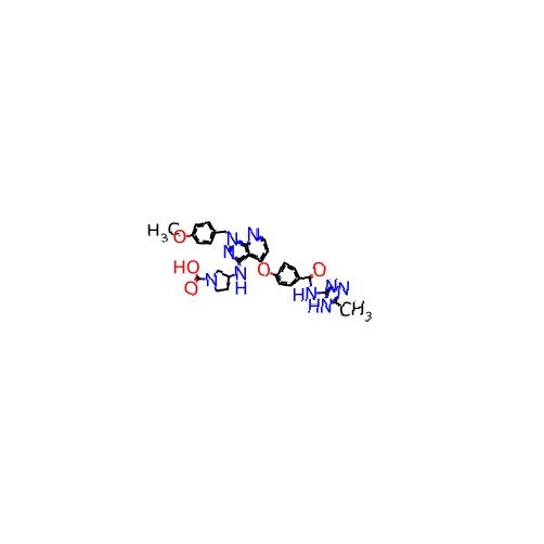 COc1ccc(Cn2nc(NC3CCN(C(=O)O)C3)c3c(Oc4ccc(C(=O)Nc5nnc(C)[nH]5)cc4)ccnc32)cc1